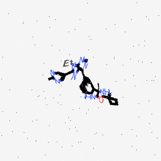 CCn1c(-c2cnc(C)nc2)nc2c(-c3ccc4c(c3)[C@](C)(NCC3(C)CCC3)C(=O)N4)ncnc21